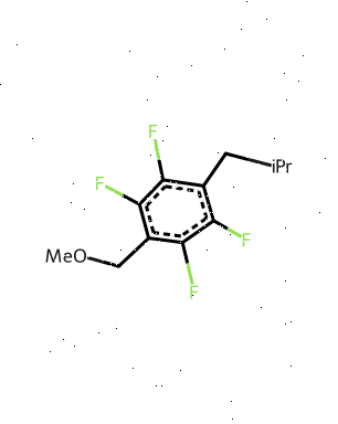 COCc1c(F)c(F)c(CC(C)C)c(F)c1F